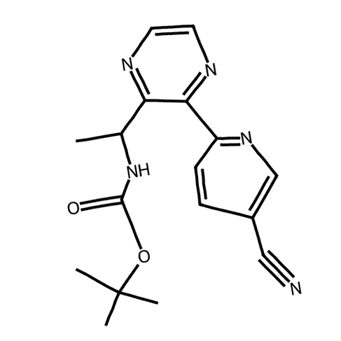 CC(NC(=O)OC(C)(C)C)c1nccnc1-c1ccc(C#N)cn1